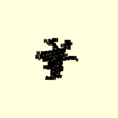 CC(=O)N[C@H](C(=O)N[C@H](C(=O)N1CCC[C@H]1C(=O)N[C@@H](Cc1ccc(O)cc1)C(=O)N[C@@H](CCCCN)C(=O)N[C@@H](CCCNC(=N)N)C(=O)N[C@@H](CCCNC(=N)N)C(=O)N[C@@H](CCCCN)C(=O)N[C@@H](CCCNC(=N)N)C(=O)O)[C@@H](C)O)C(C)C